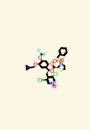 O=C(O[C@@H](Cc1c(Cl)c[n+]([O-])cc1Cl)c1ccc(OC(F)F)c(OCC2CC2)c1)[C@@H]1SCCN1S(=O)(=O)Cc1ccccc1